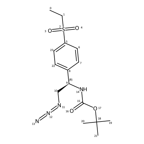 CCS(=O)(=O)c1ccc([C@H](CN=[N+]=[N-])NC(=O)OC(C)(C)C)cc1